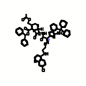 CC(=O)OCC1=C(C(=O)OC(c2ccccc2)c2ccccc2)N2C(=O)[C@@H](NC(=O)/C(=N\OCCNc3ccnc4cc(Cl)ccc34)c3csc(NC(c4ccccc4)(c4ccccc4)c4ccccc4)n3)[C@H]2SC1